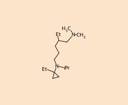 CCC(CCCN(C(C)C)C1(CC)CC1)CN(C)C